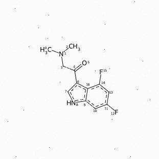 CN(C)CC(=O)c1c[nH]c2cc(F)cc(F)c12